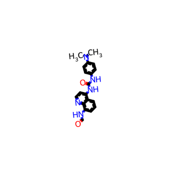 CN(C)c1ccc(NC(=O)Nc2ccnc3c(NC=O)cccc23)cc1